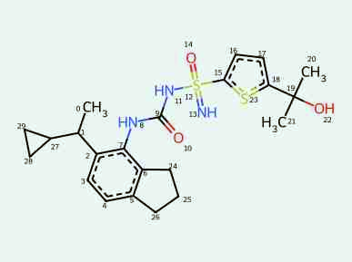 CC(c1ccc2c(c1NC(=O)NS(=N)(=O)c1ccc(C(C)(C)O)s1)CCC2)C1CC1